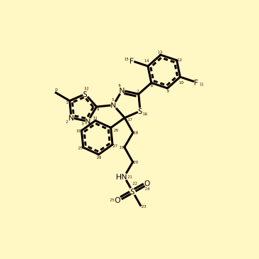 Cc1nnc(N2N=C(c3cc(F)ccc3F)SC2(CCCNS(C)(=O)=O)c2ccccc2)s1